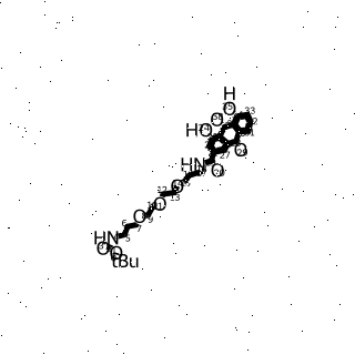 CC(C)(C)OC(=O)NCCCOCCOCCOCCCNC(=O)c1cc(O)c2c(c1)C(=O)c1cccc(O)c1C2=O